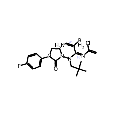 BC(=C/N)/C(=N\C(=C)Cl)N(CC(C)(C)C)N1CCN(c2ccc(F)cc2)C1=O